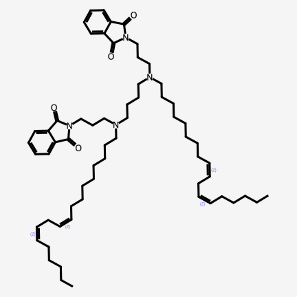 CCCCC/C=C\C/C=C\CCCCCCCCN(CCCCN(CCCCCCCC/C=C\C/C=C\CCCCC)CCCN1C(=O)c2ccccc2C1=O)CCCN1C(=O)c2ccccc2C1=O